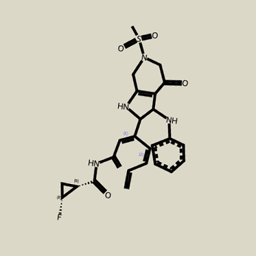 C=C/C=C\C(=C/C(=C)NC(=O)[C@H]1C[C@H]1F)C1NC2=C(C(=O)CN(S(C)(=O)=O)C2)C1Nc1ccccc1